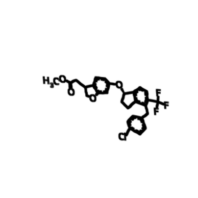 COC(=O)CC1COc2cc(O[C@@H]3CCc4c3ccc(C(F)(F)F)c4Cc3ccc(Cl)cc3)ccc21